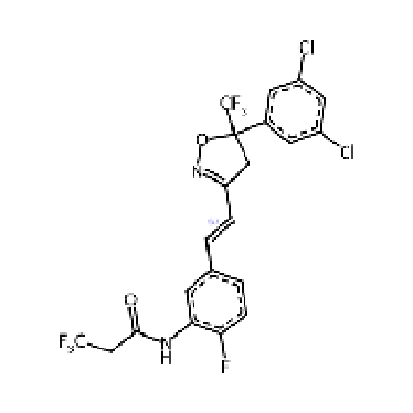 O=C(CC(F)(F)F)Nc1cc(/C=C/C2=NOC(c3cc(Cl)cc(Cl)c3)(C(F)(F)F)C2)ccc1F